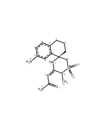 BC(=O)N=C1N[C@@]2(CCCc3ccc(N)cc32)CS(=O)(=O)N1C